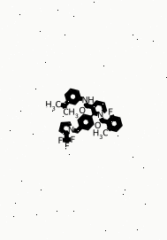 Cc1cccc(F)c1C(=O)N1CCCC(C(=O)Nc2cccc(C(C)C)c2)[C@@H]1c1ccc(CN2CCCC2C(F)(F)F)cc1